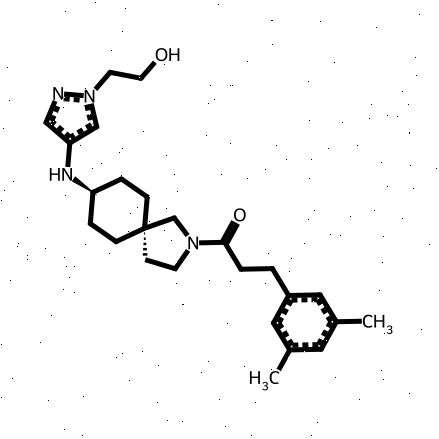 Cc1cc(C)cc(CCC(=O)N2CC[C@]3(CC[C@H](Nc4cnn(CCO)c4)CC3)C2)c1